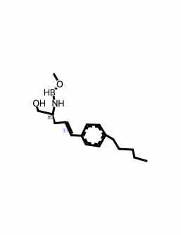 CCCCCc1ccc(/C=C/C[C@@H](CO)NBOC)cc1